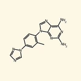 Cc1cc(-n2cncn2)ccc1-n1cnc2c(N)nc(N)nc21